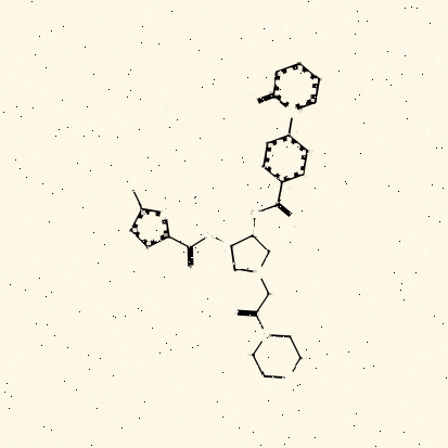 O=C(N[C@H]1CN(CC(=O)N2CCOCC2)C[C@H]1NC(=O)c1ccc(Cl)s1)c1ccc(-n2ccccc2=O)cc1